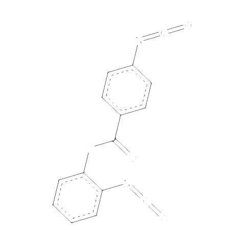 O=C=Nc1ccc(C(=O)Oc2ccccc2N=C=O)cc1